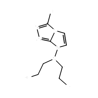 OCCN(CCO)n1ccn2c(Cl)nnc12